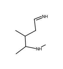 CNC(C)C(C)CC=N